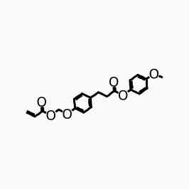 C=CC(=O)OCOc1ccc(CCC(=O)Oc2ccc(OC)cc2)cc1